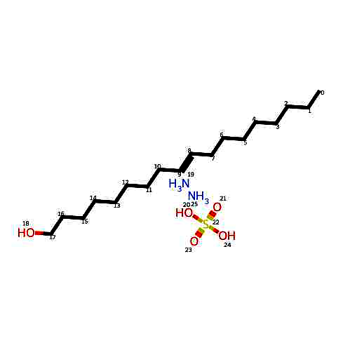 CCCCCCCCC=CCCCCCCCCO.N.N.O=S(=O)(O)O